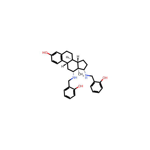 C[C@@]12[C@@H](NCc3ccccc3O)CC[C@H]1[C@@H]1CCc3cc(O)ccc3[C@H]1C[C@H]2NCc1ccccc1O